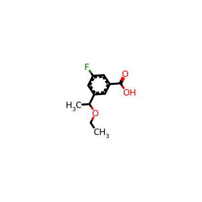 CCOC(C)c1cc(F)cc(C(=O)O)c1